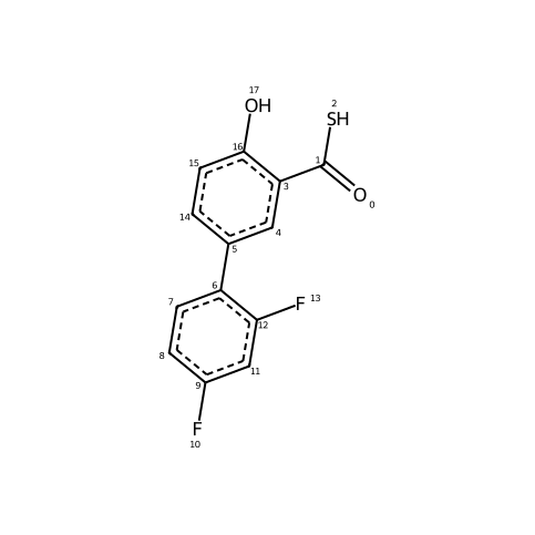 O=C(S)c1cc(-c2ccc(F)cc2F)ccc1O